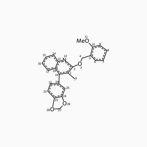 [CH2]c1c(OCc2ccccc2OC)nc2ccccc2c1-c1ccc2c(c1)OCO2